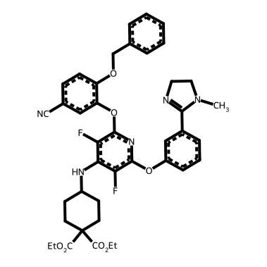 CCOC(=O)C1(C(=O)OCC)CCC(Nc2c(F)c(Oc3cccc(C4=NCCN4C)c3)nc(Oc3cc(C#N)ccc3OCc3ccccc3)c2F)CC1